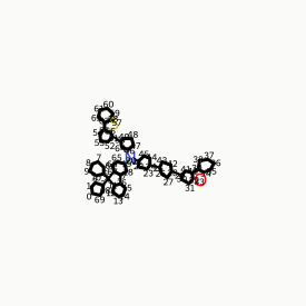 c1ccc(C2(c3ccccc3)c3ccccc3-c3cc(N(c4ccc(-c5ccc(-c6ccc7oc8ccccc8c7c6)cc5)cc4)c4cccc(-c5cccc6c5sc5ccccc56)c4)ccc32)cc1